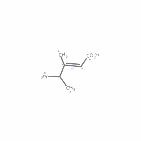 CCCC(C)/C(C)=C/C(=O)O